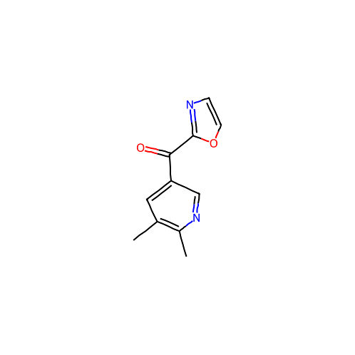 Cc1cc(C(=O)c2ncco2)cnc1C